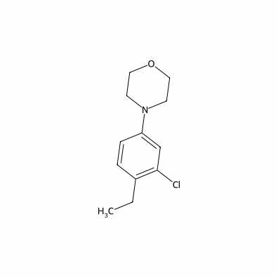 CCc1ccc(N2CCOCC2)cc1Cl